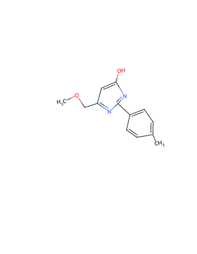 COCc1cc(O)nc(-c2ccc(C)cc2)n1